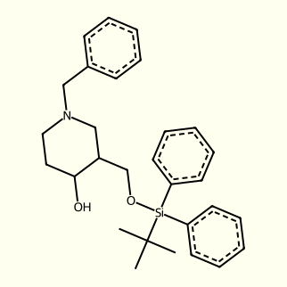 CC(C)(C)[Si](OCC1CN(Cc2ccccc2)CCC1O)(c1ccccc1)c1ccccc1